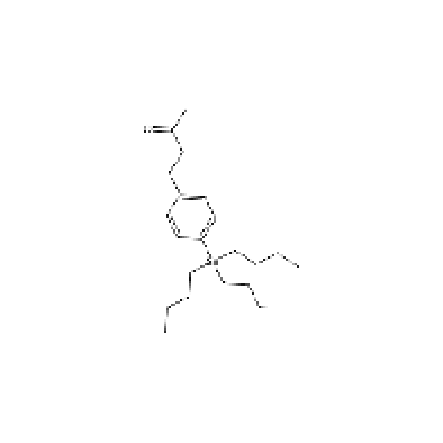 CCC[CH2][Sn]([CH2]CCC)([CH2]CCC)[c]1ccc(CCC(C)=O)cc1